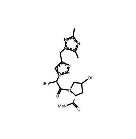 CNC(=O)[C@H]1CC(O)CN1C(=O)C(n1cc(Cn2nc(C)nc2C)nn1)C(C)(C)C